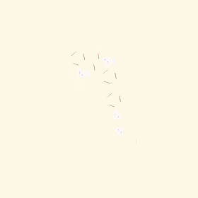 CC(C)N1CCN(c2ccc(-c3ccc4[nH]c(=O)c(-c5ccccc5NS(C)(=O)=O)cc4c3)cc2)CC1